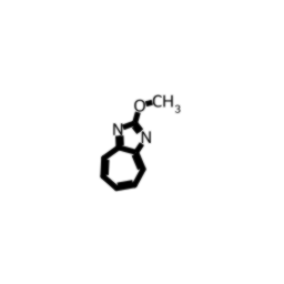 COc1nc2cccccc-2n1